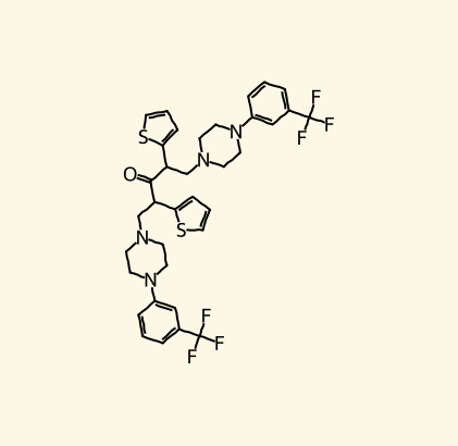 O=C(C(CN1CCN(c2cccc(C(F)(F)F)c2)CC1)c1cccs1)C(CN1CCN(c2cccc(C(F)(F)F)c2)CC1)c1cccs1